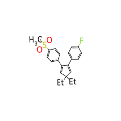 CCC1(CC)C=C(c2ccc(F)cc2)C(c2ccc(S(C)(=O)=O)cc2)=C1